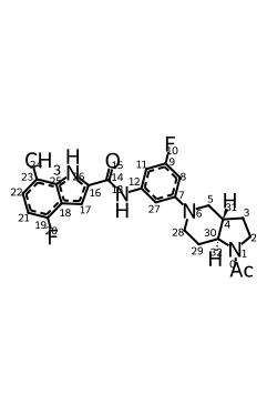 CC(=O)N1CC[C@H]2CN(c3cc(F)cc(NC(=O)c4cc5c(F)ccc(C)c5[nH]4)c3)CC[C@@H]21